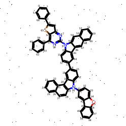 c1ccc(-c2cc3nc(-n4c5ccc(-c6ccc7c(c6)c6c8ccccc8ccc6n7-c6ccc7oc8ccccc8c7c6)cc5c5cc6ccccc6cc54)nc(-c4ccccc4)c3s2)cc1